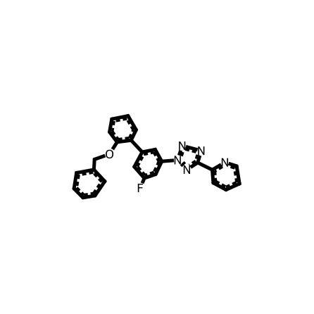 Fc1cc(-c2ccccc2OCc2ccccc2)cc(-n2nnc(-c3ccccn3)n2)c1